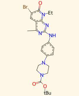 CCn1c(=O)c(Br)cc2c(C)nc(Nc3ccc(N4CCN(C(=O)OC(C)(C)C)CC4)cc3)nc21